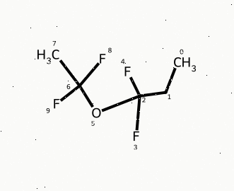 CCC(F)(F)OC(C)(F)F